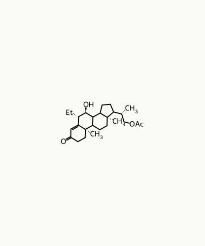 CC[C@H]1C2=CC(=O)CC[C@]2(C)C2CC[C@@]3(C)C(CCC3[C@H](C)COC(C)=O)C2[C@@H]1O